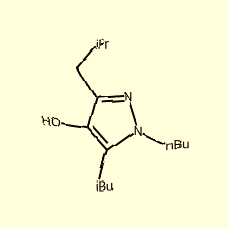 CCCCn1nc(CC(C)C)c(O)c1C(C)CC